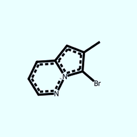 Cc1cc2cccnn2c1Br